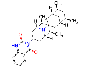 C[C@@H]1C[C@H](C)[C@H]2CC(N3[C@@H]4CC(n5c(=O)[nH]c6ccccc6c5=O)C[C@H]3[C@H](C)C[C@@H]4C)C[C@@H]1C2